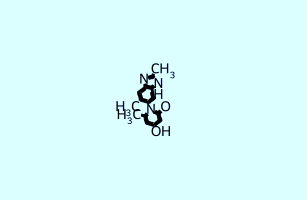 Cc1nc2cc(C)c(-n3c(C)cc(O)cc3=O)cc2[nH]1